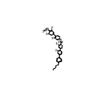 CCCCCc1ccc(-c2ccc(-c3ccc(C(F)(F)Oc4ccc(-c5cc(F)c(N=C=S)c(F)c5)c(F)c4)c(F)c3)c(F)c2)cc1